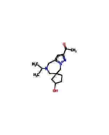 CC(=O)c1cc2n(n1)CC1(CCC(O)C1)CN(C(C)C)C2